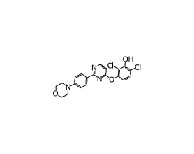 Oc1c(Cl)ccc(Oc2ccnc(-c3ccc(N4CCOCC4)cc3)n2)c1Cl